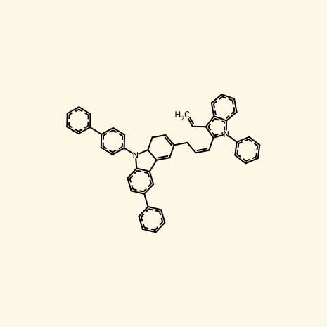 C=Cc1c(/C=C\CC2=CCC3C(=C2)c2cc(-c4ccccc4)ccc2N3c2ccc(-c3ccccc3)cc2)n(-c2ccccc2)c2ccccc12